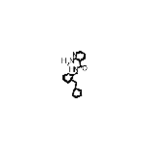 Nc1ncccc1C(=O)NCc1ccccc1Cc1ccccc1